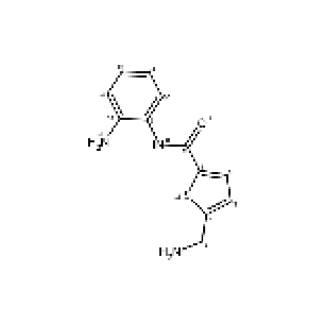 NCc1ccc(C(=O)Nc2ccccc2N)s1